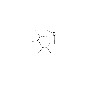 CC(C)C(C)C(C)C(C)C.COC